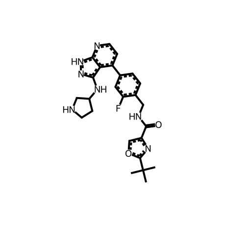 CC(C)(C)c1nc(C(=O)NCc2ccc(-c3ccnc4[nH]nc(NC5CCNC5)c34)cc2F)co1